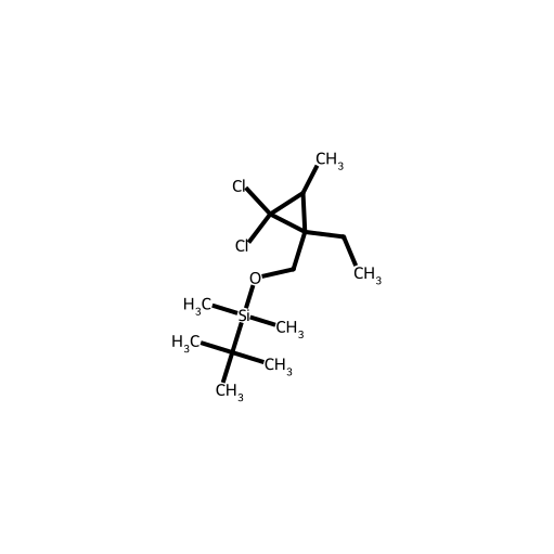 CCC1(CO[Si](C)(C)C(C)(C)C)C(C)C1(Cl)Cl